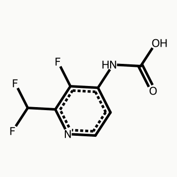 O=C(O)Nc1ccnc(C(F)F)c1F